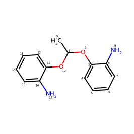 CC(Oc1ccccc1N)Oc1ccccc1N